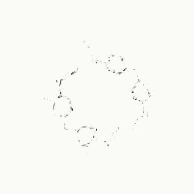 Cc1cc(Cc2ccc(N=C=O)c(C)c2)ccc1N=C=O.O=C=Nc1ccc(Cc2ccc(N=C=O)cc2)cc1